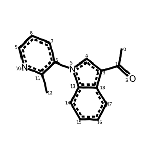 CC(=O)c1cn(-c2cccnc2C)c2ccccc12